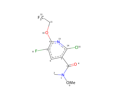 CON(C)C(=O)c1cc(F)c(OCC(F)(F)F)nc1Cl